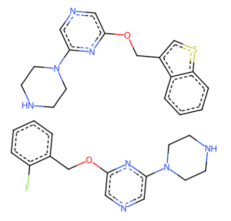 Fc1ccccc1COc1cncc(N2CCNCC2)n1.c1ccc2c(COc3cncc(N4CCNCC4)n3)csc2c1